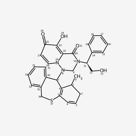 CC1CC=CC2=C1C(N1CN([C@H](CO)c3ccccc3)C(=O)c3c(O)c(=O)ccn31)c1ccccc1CS2